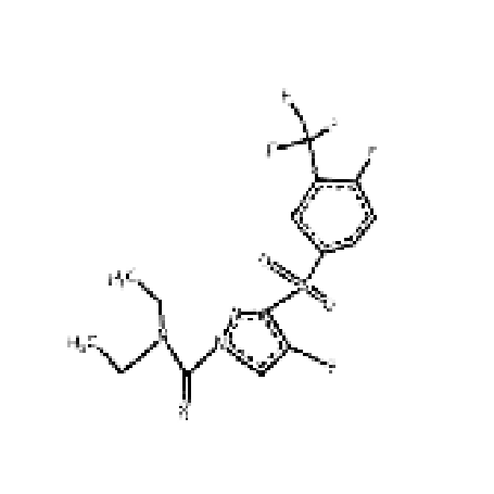 CCN(CC)C(=O)n1cc(F)c(S(=O)(=O)c2ccc(F)c(C(F)(F)F)c2)n1